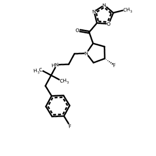 Cc1nnc(C(=O)C2C[C@H](F)CN2CCNC(C)(C)Cc2ccc(F)cc2)o1